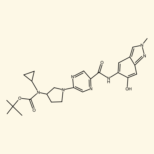 Cn1cc2cc(NC(=O)c3cnc(N4CCC(N(C(=O)OC(C)(C)C)C5CC5)C4)cn3)c(O)cc2n1